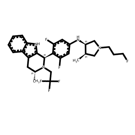 C[C@@H]1CN(CCCF)C[C@@H]1Nc1cc(F)c([C@@H]2c3[nH]c4ccccc4c3C[C@@H](C)N2CC(F)(F)F)c(F)c1